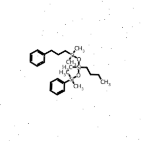 CCCC[Si](C)(O[Si](C)(C)CCCc1ccccc1)O[Si](C)(C)c1ccccc1